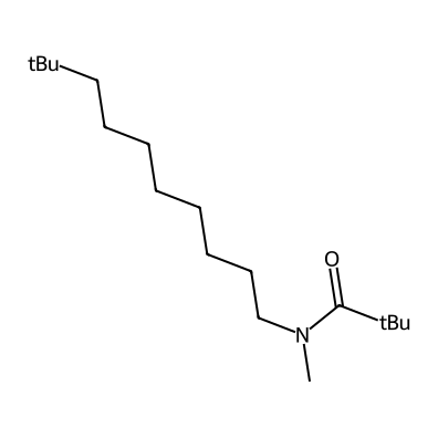 CN(CCCCCCCCC(C)(C)C)C(=O)C(C)(C)C